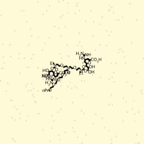 CCCOCCOCCOCCOCCC(=O)N(CCOCCN(CC)C(=O)O[C@@H]([C@@H]1OC(C(=O)O)=C[C@H](NC(=N)N)[C@H]1C)[C@H](O)CO)CCOCCN(CC)C(=O)O[C@@H]([C@@H]1OC(C(=O)O)=C[C@H](NC(=N)N)[C@H]1NC(C)=O)[C@H](O)CO